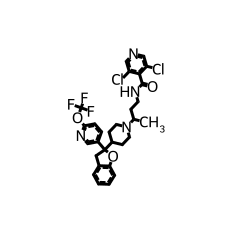 CC(CCNC(=O)c1c(Cl)cncc1Cl)N1CCC(C2(c3ccc(OC(F)(F)F)nc3)Cc3ccccc3O2)CC1